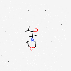 CC(C)C(=O)C(C)(C)N1CCOCC1